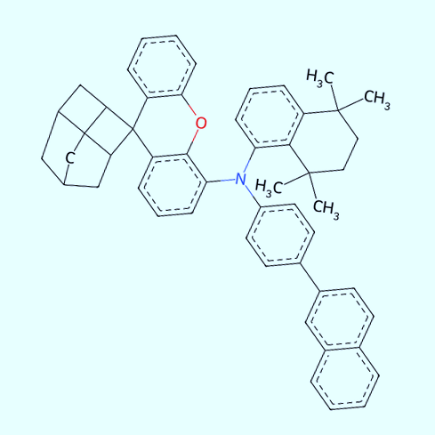 CC1(C)CCC(C)(C)c2c(N(c3ccc(-c4ccc5ccccc5c4)cc3)c3cccc4c3Oc3ccccc3C43C4CC5CC6CC3C64C5)cccc21